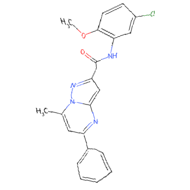 COc1ccc(Cl)cc1NC(=O)c1cc2nc(-c3ccccc3)cc(C)n2n1